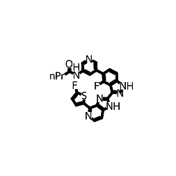 CCCC(=O)Nc1cncc(-c2ccc3[nH]nc(-c4nc5c(-c6ccc(F)s6)nccc5[nH]4)c3c2F)c1